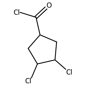 O=C(Cl)C1CC(Cl)C(Cl)C1